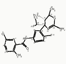 Cc1ncc(Cl)nc1C(=O)Nc1ccc(F)c([C@]2(C(F)F)N=C(N)OC(C)[C@H]2C)c1